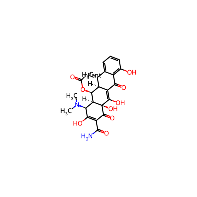 CCCCCC(=O)O[C@H]1[C@@H]2C(=C(O)[C@]3(O)C(=O)C(C(N)=O)=C(O)[C@@H](N(C)C)[C@@H]13)C(=O)c1c(O)cccc1[C@H]2C